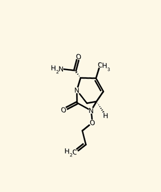 C=CCON1C(=O)N2C[C@H]1C=C(C)[C@H]2C(N)=O